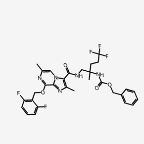 Cc1cn2c(C(=O)NCC(C)(CCC(F)(F)F)NC(=O)OCc3ccccc3)c(C)nc2c(OCc2c(F)cccc2F)n1